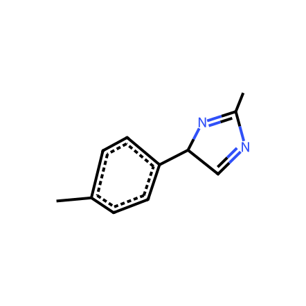 CC1=NC(c2ccc(C)cc2)C=N1